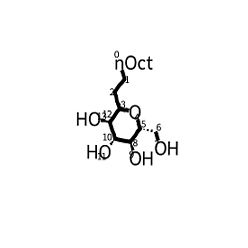 CCCCCCCCCC[C]1O[C@H](CO)[C@@H](O)[C@H](O)[C@H]1O